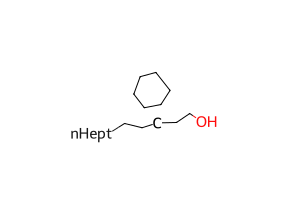 C1CCCCC1.CCCCCCCCCCCCO